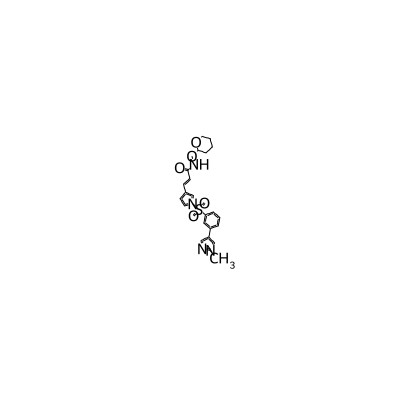 Cn1cc(-c2cccc(S(=O)(=O)n3ccc(C=CC(=O)NOC4CCCCO4)c3)c2)cn1